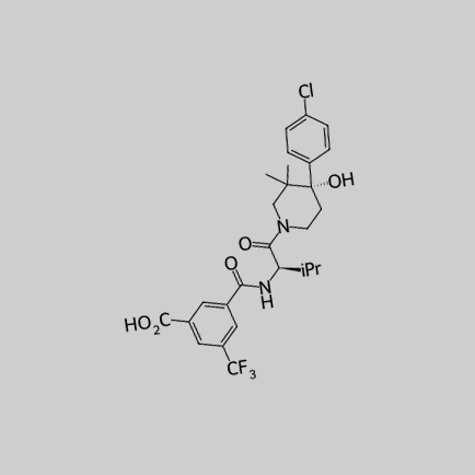 CC(C)[C@@H](NC(=O)c1cc(C(=O)O)cc(C(F)(F)F)c1)C(=O)N1CC[C@](O)(c2ccc(Cl)cc2)C(C)(C)C1